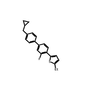 CCc1ccc(-c2ccc(-c3ccc(CC4CC4)cc3)cc2F)s1